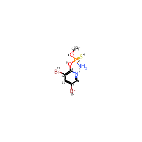 CC(C)OP(N)(=S)Oc1ncc(Br)cc1Br